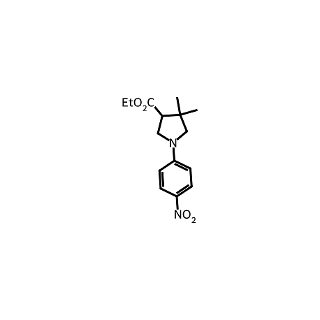 CCOC(=O)C1CN(c2ccc([N+](=O)[O-])cc2)CC1(C)C